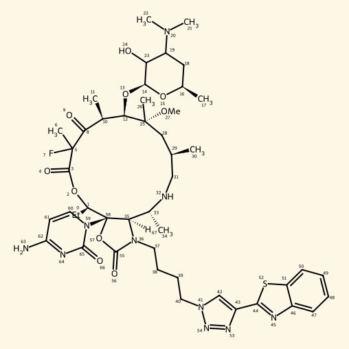 CC[C@H]1OC(=O)C(C)(F)C(=O)[C@@H](C)[C@@H](O[C@@H]2O[C@H](C)CC(N(C)C)C2O)[C@](C)(OC)C[C@@H](C)CN[C@H](C)[C@H]2N(CCCCn3cc(-c4nc5ccccc5s4)nn3)C(=O)O[C@]12n1ccc(N)nc1=O